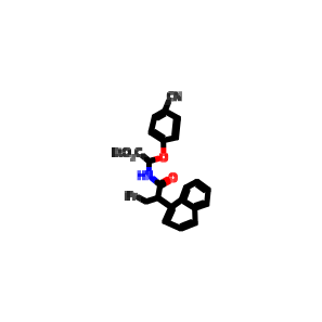 CCOC(=O)C(NC(=O)C(CC(C)C)c1cccc2ccccc12)Oc1ccc(C#N)cc1